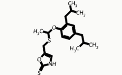 CC(C)Cc1ccc(OC(C)SCc2c[nH]c(=S)o2)c(CC(C)C)c1